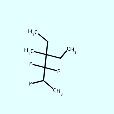 CCC(C)(CC)C(F)(F)C(C)F